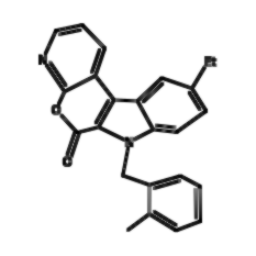 CCc1ccc2c(c1)c1c3cccnc3oc(=O)c1n2Cc1ccccc1C